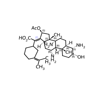 CC(=O)O[C@H]1C[C@@]2(C)[C@@H](C[C@@H](N)[C@H]3[C@@]4(C)CC[C@@H](O)[C@@H](N)[C@@H]4CC[C@@]32N)/C1=C(/C(=O)O)C1CCCC(=C(C)C)C1